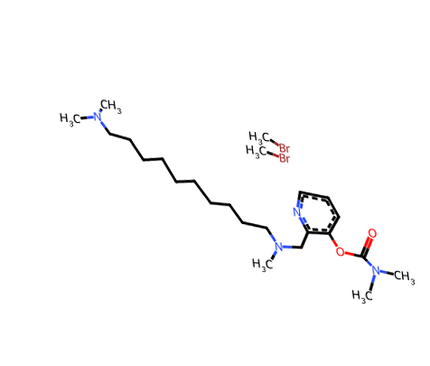 CBr.CBr.CN(C)CCCCCCCCCCN(C)Cc1ncccc1OC(=O)N(C)C